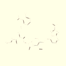 Cc1cc(SCC2=C(C(=O)O)N3C(=O)[C@@H](NC(=O)/C(=N\OCc4ccc(O)c(O)c4C(=O)O)c4csc(N)n4)[C@H]3SC2)n2nc(C(=O)O)nc2n1